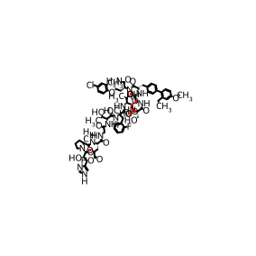 CCc1cc(OC)ccc1-c1ccc(C[C@H](NC(=O)[C@H](CC(=O)O)NC(=O)[C@H](CO)NC(=O)[C@@H](NC(=O)C(C)(Cc2ccccc2F)NC(=O)[C@@H](NC(=O)CNC(=O)[C@H](CCC(=O)O)NC(=O)C2(C)CCCN2C(=O)[C@@H](O)Cc2c[nH]cn2)[C@@H](C)O)[C@@H](C)O)C(=O)N[C@@H](CCOc2ccc(Cl)cc2C)C(N)=O)cc1